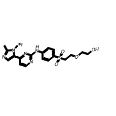 Cc1ncc(-c2ccnc(Nc3ccc(S(=O)(=O)CCOCCO)cc3)n2)n1C(C)C